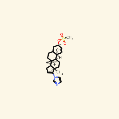 C[C@]12CC[C@H](OS(C)(=O)=O)CC1CC[C@@H]1[C@@H]2CC[C@]2(C)C(n3ccnc3)=CC[C@@H]12